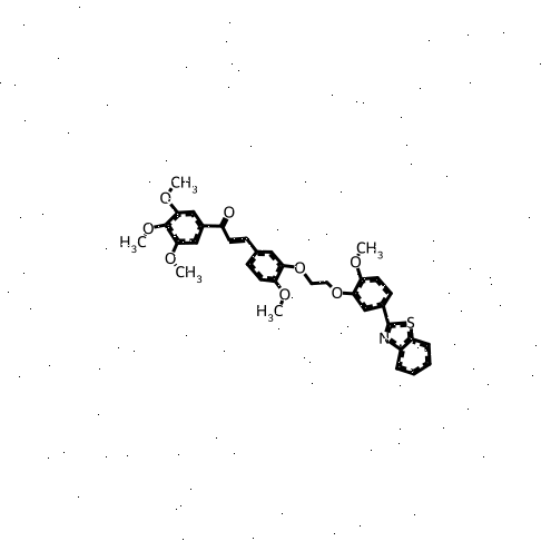 COc1ccc(/C=C/C(=O)c2cc(OC)c(OC)c(OC)c2)cc1OCCOc1cc(-c2nc3ccccc3s2)ccc1OC